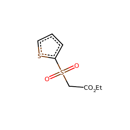 CCOC(=O)CS(=O)(=O)c1cccs1